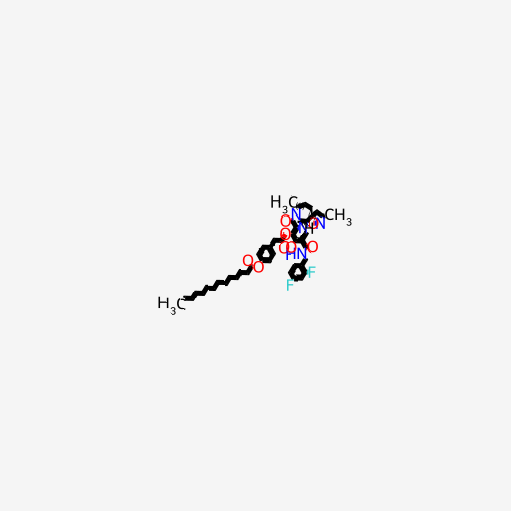 CCCCCCCCCCCCCC(=O)Oc1ccc(CC(=O)Oc2c3n(cc(C(=O)NCc4ccc(F)cc4F)c2=O)[C@@H]2CN(C3=O)[C@@H](C)CC[C@]23CC(C)=NO3)cc1